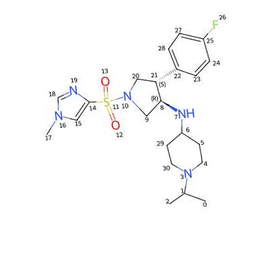 CC(C)N1CCC(N[C@H]2CN(S(=O)(=O)c3cn(C)cn3)C[C@@H]2c2ccc(F)cc2)CC1